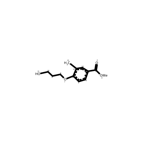 COC(=O)c1ccc(OCCCO)c(C)c1